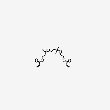 C=CC(=O)OCCOC(C)(C)CCOC(C)CCOC(=O)C=C